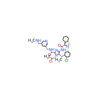 CNCc1cncc(CNC(=O)c2nc(NC(=O)c3nsc4ccccc34)c([C@@H](C)c3cc(F)ccc3Cl)n2CC(C)=O)c1